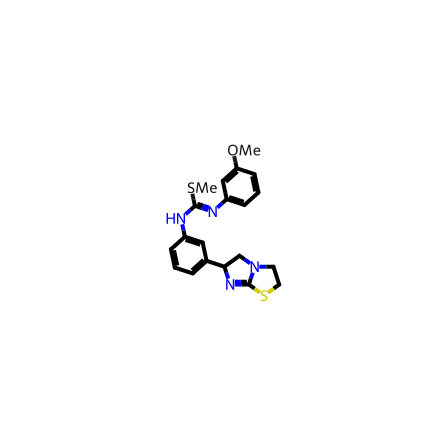 COc1cccc(N=C(Nc2cccc(C3CN4CCSC4=N3)c2)SC)c1